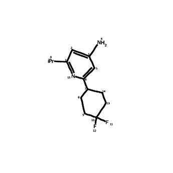 CC(C)c1cc(N)cc(C2CCC(F)(F)CC2)n1